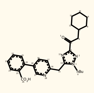 CCCCn1nc(C(=O)CC2CCCCC2)nc1Cc1ccc(-c2ccccc2C(=O)O)cn1